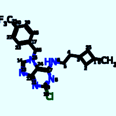 CC1CC(CCNc2nc(Cl)nc3ncn(Cc4ccc(C(F)(F)F)cc4)c23)C1